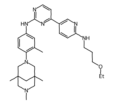 CCOCCCNc1ccc(-c2ccnc(Nc3ccc(N4CC5(C)CN(C)CC(C)(C4)C5)c(C)c3)n2)cn1